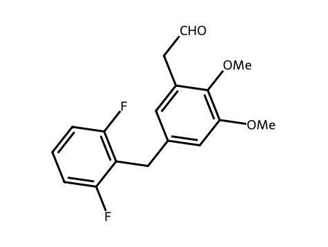 COc1cc(Cc2c(F)cccc2F)cc(CC=O)c1OC